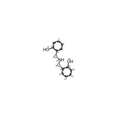 Oc1ccccc1ONOc1ccccc1O